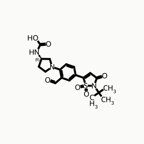 CC(C)(C)N1C(=O)C=C(c2ccc(N3CC[C@@H](NC(=O)O)C3)c(C=O)c2)S1(=O)=O